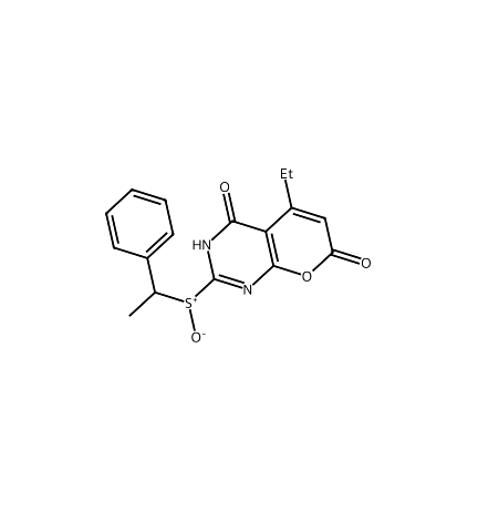 CCc1cc(=O)oc2nc([S+]([O-])C(C)c3ccccc3)[nH]c(=O)c12